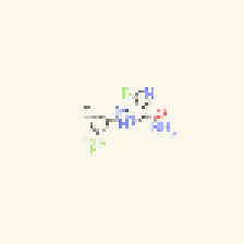 Cc1cc(-c2ncn(/C=C(/C(N)=O)c3cncc(F)c3)n2)cc(C(F)(F)F)c1